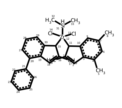 CC1=Cc2c(C)cc(C)cc2[CH]1[Zr]([Cl])([Cl])([CH]1C(C)=Cc2c(-c3ccccc3)cccc21)[SiH](C)C